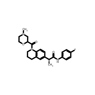 C[C@H](C(=O)Nc1ccc(F)cc1)c1ccc2c(c1)CCCN2C(=O)C1CN(C)CCO1